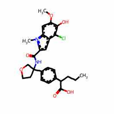 CCCC(C(=O)O)c1ccc(C2(NC(=O)c3cc4c(Cl)c(O)c(OC)cc4n3C)CCOC2)cc1